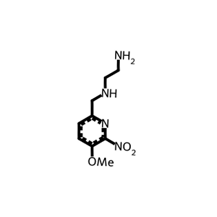 COc1ccc(CNCCN)nc1[N+](=O)[O-]